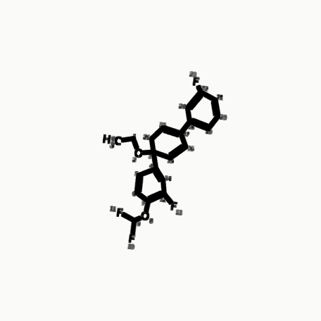 CCOC1(c2ccc(OC(F)F)c(F)c2)C=CC(c2cccc(F)c2)=CC1